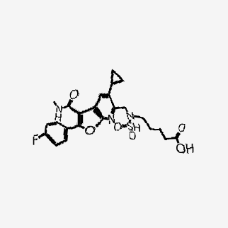 CNC(=O)c1c(-c2ccc(F)cc2)oc2nc(CN(CCCCC(=O)O)[SH](=O)=O)c(C3CC3)cc12